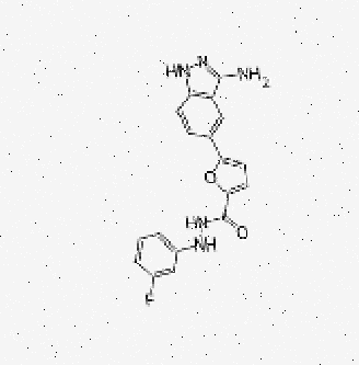 Nc1n[nH]c2ccc(-c3ccc(C(=O)NNc4cccc(F)c4)o3)cc12